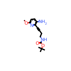 COc1ccc(N)c(C#CCCNC(=O)OC(C)(C)C)n1